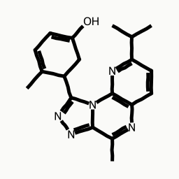 CC1=CC=C(O)CC1c1nnc2c(C)nc3ccc(C(C)C)nc3n12